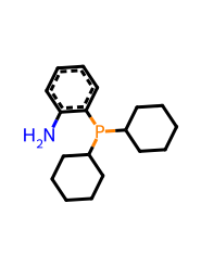 Nc1ccccc1P(C1CCCCC1)C1CCCCC1